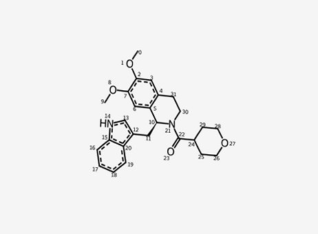 COc1cc2c(cc1OC)[C@H](Cc1c[nH]c3ccccc13)N(C(=O)C1CCOCC1)CC2